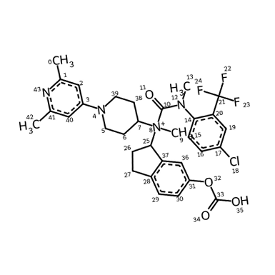 Cc1cc(N2CCC([N+](C)(C(=O)N(C)c3ccc(Cl)cc3C(F)(F)F)C3CCc4ccc(OC(=O)O)cc43)CC2)cc(C)n1